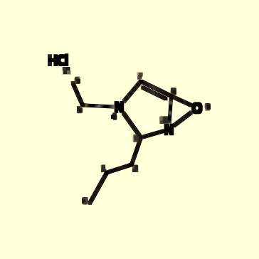 CCCC1N(CC)C=C2ON21.Cl